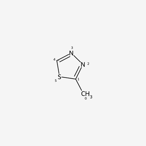 Cc1nn[c]s1